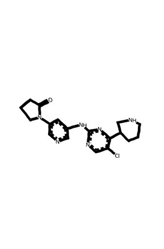 O=C1CCCN1c1cncc(Nc2ncc(Cl)c(C3CCCNC3)n2)c1